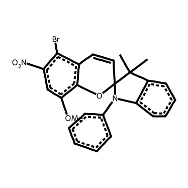 COc1cc([N+](=O)[O-])c(Br)c2c1OC1(C=C2)N(c2ccccc2)c2ccccc2C1(C)C